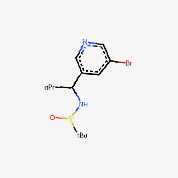 CCCC(N[S+]([O-])C(C)(C)C)c1cncc(Br)c1